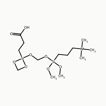 CO[Si](CCC[N+](C)(C)C)(OC)OCO[Si]1(CCC(=O)O)OCO1